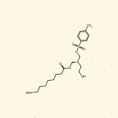 CCCCCCCCCCCCCCCCCC(=O)OC[C@H](CCO)COS(=O)(=O)c1ccc(C)cc1